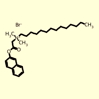 CCCCCCCCCCCCCC[N+](C)(C)CC(=O)Oc1ccc2ccccc2c1.[Br-]